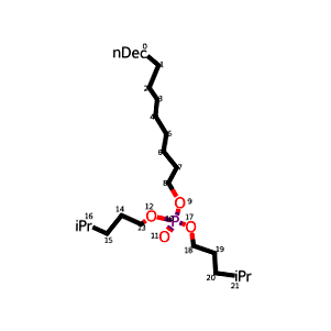 CCCCCCCCCCCCCCCCCCOP(=O)(OCCCC(C)C)OCCCC(C)C